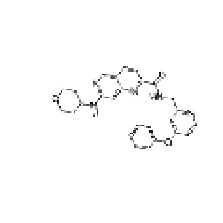 O=C(NCc1cc(Oc2ccccc2)ccn1)c1ccc2cnc(NC3CCOCC3)cc2n1